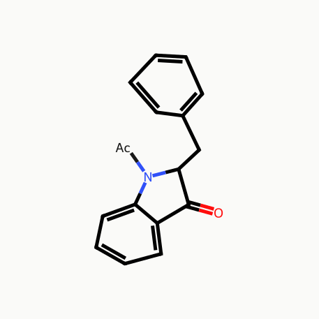 CC(=O)N1c2ccccc2C(=O)C1Cc1ccccc1